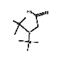 C[Si](C)(C)N(CC(=O)S)[Si](C)(C)C